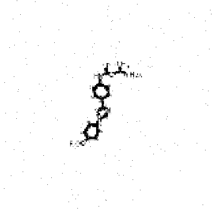 CCCCCCC(C)OC(=O)Nc1ccc(-c2ncn(-c3ccc(OC(F)(F)F)cc3)n2)cc1